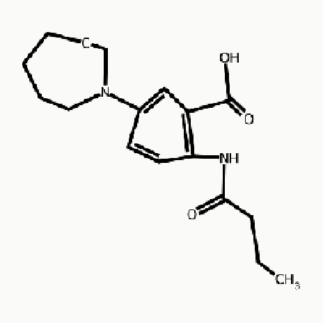 CCCC(=O)Nc1ccc(N2CCCCCC2)cc1C(=O)O